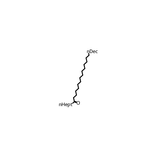 CCCCCCCCCCCCCCCCCCCCCCCCC(=O)CCCCCCC